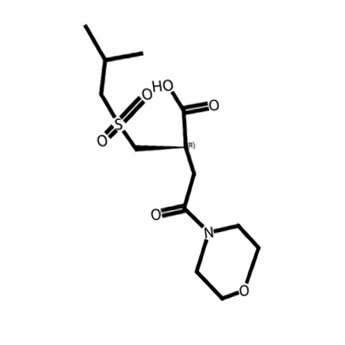 CC(C)CS(=O)(=O)C[C@H](CC(=O)N1CCOCC1)C(=O)O